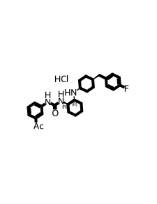 CC(=O)c1cccc(NC(=O)N[C@@H]2CCCC[C@H]2N[C@H]2CC[C@H](Cc3ccc(F)cc3)CC2)c1.Cl